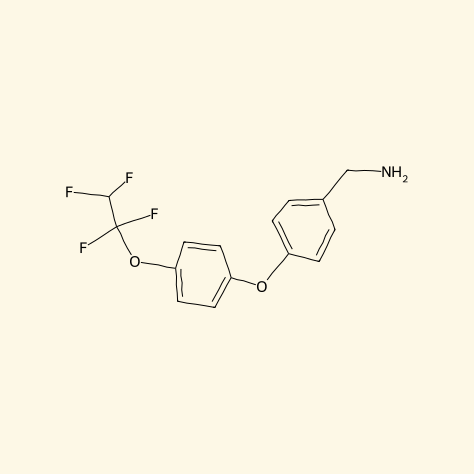 NCc1ccc(Oc2ccc(OC(F)(F)C(F)F)cc2)cc1